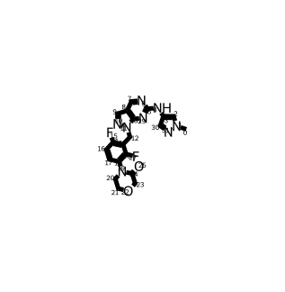 Cn1cc(Nc2ncc3cnn(Cc4c(F)ccc(N5CCOCC5=O)c4F)c3n2)cn1